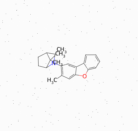 Cc1cc2oc3ccccc3c2cc1N1C2CCC([C@@H]1C)C2(C)C